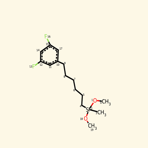 CO[Si](C)(CCCCCCc1cc(F)cc(F)c1)OC